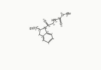 CCOC(=O)[C@@H]1Cc2ccccc2N1C(=O)CNC(=O)OC(C)(C)C